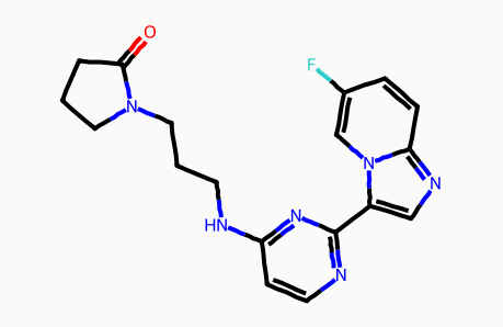 O=C1CCCN1CCCNc1ccnc(-c2cnc3ccc(F)cn23)n1